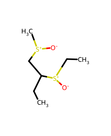 CCC(C[S+](C)[O-])[S+]([O-])CC